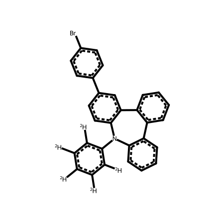 [2H]c1c([2H])c([2H])c(N2c3ccccc3-c3ccccc3-c3cc(-c4ccc(Br)cc4)ccc32)c([2H])c1[2H]